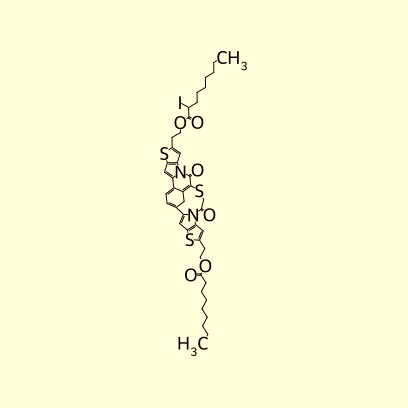 CCCCCCCCC(=O)OCCc1cc2c(cc3n2C(=O)CSc2c4c(c5cc6sc(CCOC(=O)C(I)CCCCCCC)cc6n5c2=O)=CC=C3C4)s1